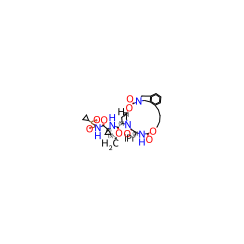 C=C[C@@H]1C[C@]1(NC(=O)[C@@H]1C[C@@H]2CN1C(=O)[C@H](C(C)C)NC(=O)OCCCCc1cccc3c1CN(C3)C(=O)O2)C(=O)NS(=O)(=O)C1CC1